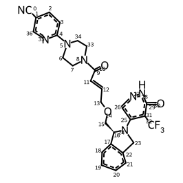 N#Cc1ccc(N2CCN(C(=O)/C=C/COC[C@@H]3c4ccccc4CN3c3cn[nH]c(=O)c3C(F)(F)F)CC2)nc1